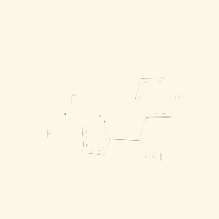 OC(c1ccc(F)cc1)c1csc(C(F)(F)F)n1